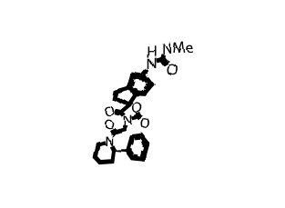 CNC(=O)Nc1ccc2c(c1)CCC21OC(=O)N(CC(=O)N2CCCC[C@@H]2c2ccccc2)C1=O